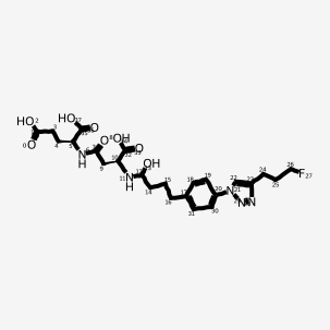 O=C(O)CC[C@H](NC(=O)C[C@H](NC(O)CCCc1ccc(-n2cc(CCCF)nn2)cc1)C(=O)O)C(=O)O